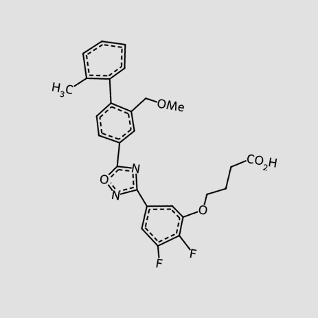 COCc1cc(-c2nc(-c3cc(F)c(F)c(OCCCC(=O)O)c3)no2)ccc1-c1ccccc1C